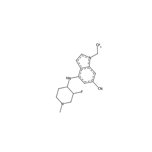 CN1CCC(Nc2cc(C#N)cc3c2ccn3CC(F)(F)F)C(F)C1